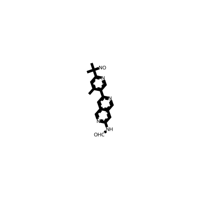 Cc1cc(C(C)(C)N=O)ncc1-c1cc2cnc(NC=O)cc2cn1